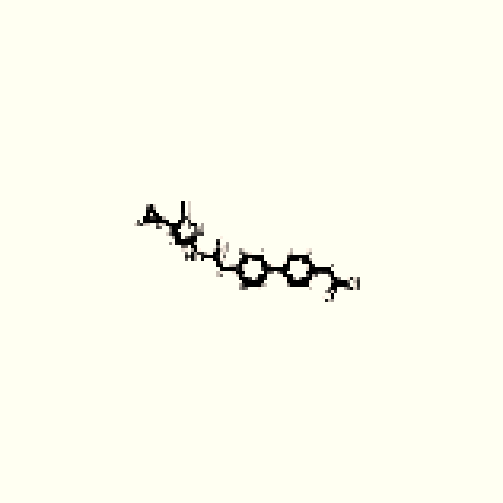 O=C(O)Cc1ccc(-c2ccc(CC(=O)Nc3cc(C4CC4)[nH]n3)cc2)cc1